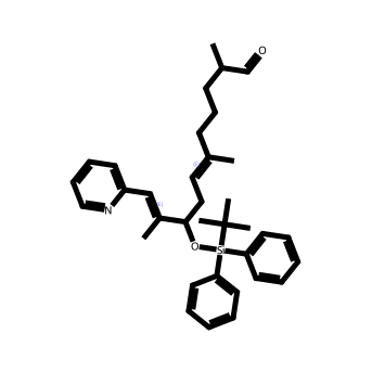 C/C(=C\CC(O[Si](c1ccccc1)(c1ccccc1)C(C)(C)C)/C(C)=C/c1ccccn1)CCCC(C)C=O